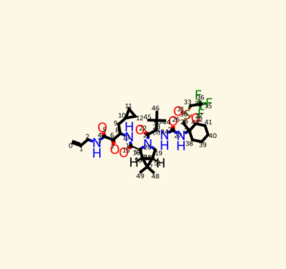 C=CCNC(=O)C(=O)C(CC1CC1)NC(=O)[C@@H]1[C@@H]2[C@H](CN1C(=O)[C@@H](NC(=O)NC1(CS(=O)(=O)CC(F)(F)F)CCCCC1)C(C)(C)C)C2(C)C